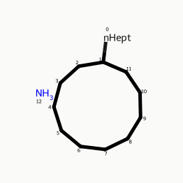 CCCCCCCC1CCCCCCCCCC1.N